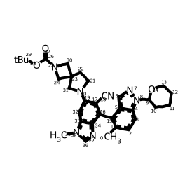 Cc1ccc2c(cnn2C2CCCCO2)c1-c1c(C#N)c(N2CCC3(CN(C(=O)OC(C)(C)C)C3)C2)cc2c1ncn2C